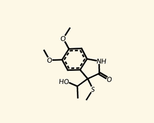 COc1cc2c(cc1OC)C(SC)(C(C)O)C(=O)N2